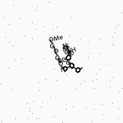 COCCOCCOCCOCCOCc1cc(-c2cc(-c3cccc(C)c3)ccc2Oc2ccc(S(=O)(=O)Nc3ncns3)cc2C#N)ccn1